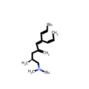 C=C(/C=C(\C=C/C)/C=C/C(C)(C)C)C[C@H](C)CN(C)C(C)(C)C